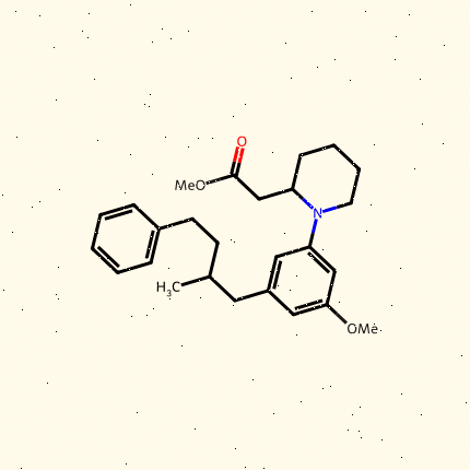 COC(=O)CC1CCCCN1c1cc(CC(C)CCc2ccccc2)cc(OC)c1